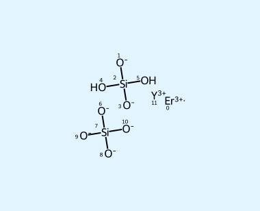 [Er+3].[O-][Si]([O-])(O)O.[O-][Si]([O-])([O-])[O-].[Y+3]